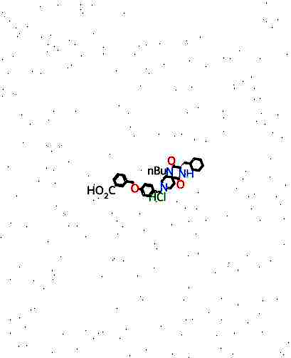 CCCCN1C(=O)[C@H](CC2CCCCC2)NC(=O)C12CCN(Cc1ccc(OCc3cccc(C(=O)O)c3)cc1)CC2.Cl